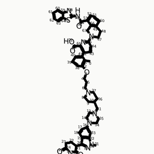 Cc1c(OCCCN2CCC(CN3CCN(c4ccc5c(C6CCC(=O)NC6=O)nn(C)c5c4)CC3)CC2)cccc1-c1ccc(N2CCc3cccc(C(=O)Nc4nc5ccccc5s4)c3C2)nc1C(=O)O